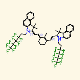 CC1=C(/C=C/C2=[N+](CCC(F)(F)C(F)(F)C(F)(F)C(F)(F)F)c3ccc4ccccc4c3C2(C)C)CCC/C1=C\C=C1\N(CCC(F)(F)C(F)(F)C(F)(F)C(F)(F)F)c2ccc3ccccc3c2C1(C)C